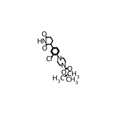 CC(C)(C)OC(=O)N1CCN(c2ccc(C3CCC(=O)NC3=O)cc2Cl)CC1